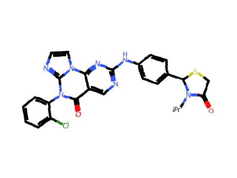 CC(C)N1C(=O)CSC1c1ccc(Nc2ncc3c(=O)n(-c4ccccc4Cl)c4nccn4c3n2)cc1